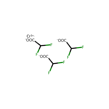 O=C([O-])C(F)F.O=C([O-])C(F)F.O=C([O-])C(F)F.[Cr+3]